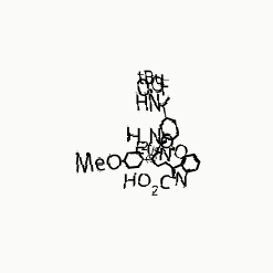 CC[C@@]1(C(N)=O)[C@H](C2CCC(OC)CC2)CC(c2c(C(=O)O)n(C)c3ccccc23)N1C(=O)[C@H]1CC[C@H](C(CF)NC(=O)OC(C)(C)C)CC1